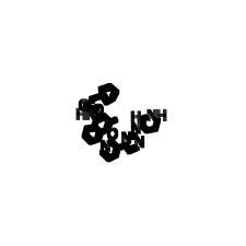 Cc1cc(NS(=O)(=O)Cc2ccccc2)c2ccccc2c1Oc1ncccc1-c1ccnc(N[C@H]2CCCNC2)n1